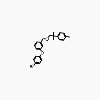 Cc1ccc(C(C)(C)COCc2cccc(Oc3ccc(Br)cc3)c2)cc1